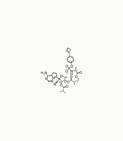 CCOC(=O)[C@H](C)NP(=O)(OC[C@H]1O[C@@](C#N)(c2ccc3c(N)ncnn23)[C@H](OC(=O)C(C)C)[C@@H]1OC(=O)C(C)C)Oc1ccc(C23CC(C2)C3)cc1